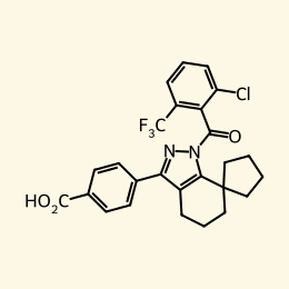 O=C(O)c1ccc(-c2nn(C(=O)c3c(Cl)cccc3C(F)(F)F)c3c2CCCC32CCCC2)cc1